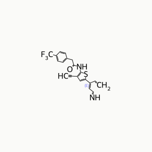 C#Cc1cc(/C(C=C)=C/C=N)sc1NC(=O)Cc1ccc(C(F)(F)F)cc1